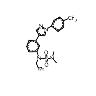 CC(C)CN(c1cccc(-c2cnn(-c3ccc(C(F)(F)F)cc3)c2)c1)S(=O)(=O)N(C)C